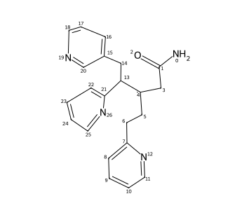 NC(=O)C[C](CCc1ccccn1)C(Cc1cccnc1)c1ccccn1